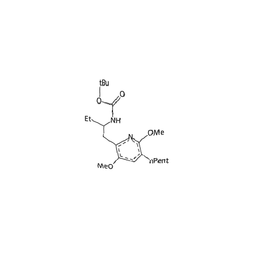 CCCCCc1cc(OC)c(CC(CC)NC(=O)OC(C)(C)C)nc1OC